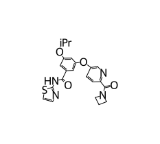 CC(C)Oc1cc(Oc2ccc(C(=O)N3CCC3)nc2)cc(C(=O)Nc2nccs2)c1